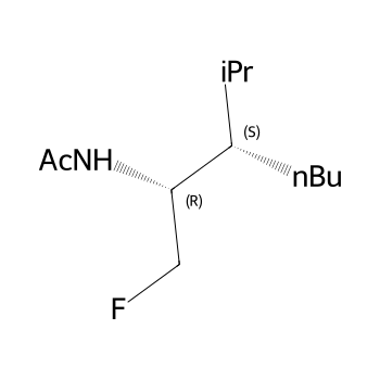 CCCC[C@@H](C(C)C)[C@H](CF)NC(C)=O